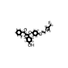 O=C(c1ccccc1F)c1sc2cc(O)ccc2c1Oc1ccc(OCCN2CC(CF)C2)cc1